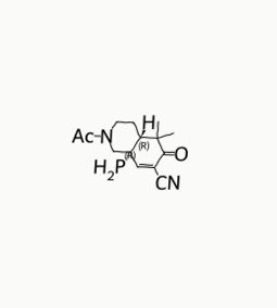 CC(=O)N1CC[C@@H]2C(C)(C)C(=O)C(C#N)=C[C@@]2(P)C1